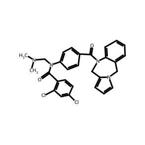 CN(C)CN(C(=O)c1ccc(Cl)cc1Cl)c1ccc(C(=O)N2Cc3cccn3Cc3ccccc32)cc1